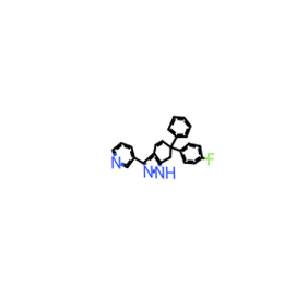 Fc1ccc(C2(c3ccccc3)C=Cc3c(-c4cccnc4)n[nH]c3C2)cc1